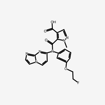 Cn1ncc(C(=O)O)c1C(=O)N(c1cccc(OCCF)c1)c1ccn2ccnc2n1